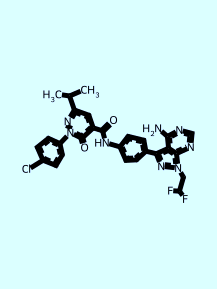 CC(C)c1cc(C(=O)Nc2ccc(-c3nn(CC(F)F)c4ncnc(N)c34)cc2)c(=O)n(-c2ccc(Cl)cc2)n1